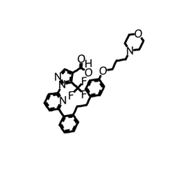 O=C(O)c1cnn(-c2cccc(-c3ccccc3CCc3ccc(OCCCN4CCOCC4)cc3)n2)c1C(F)(F)F